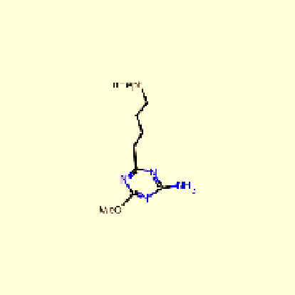 CCCCCCCCCCCc1nc(N)nc(OC)n1